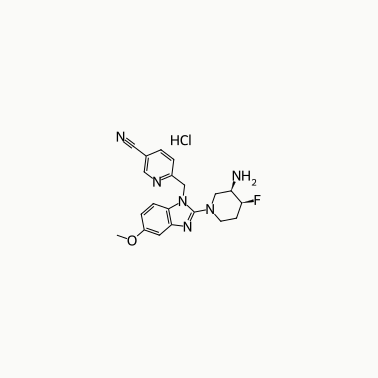 COc1ccc2c(c1)nc(N1CC[C@H](F)[C@H](N)C1)n2Cc1ccc(C#N)cn1.Cl